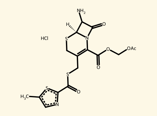 CC(=O)OCOC(=O)C1=C(CSC(=O)c2ncc(C)s2)CS[C@H]2C(N)C(=O)N12.Cl